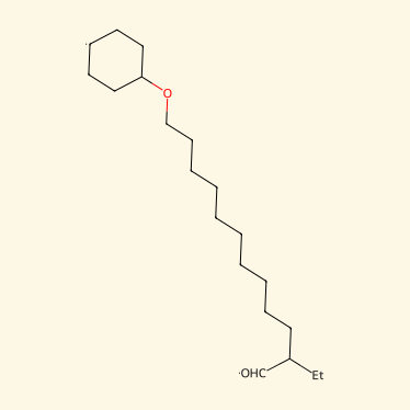 CCC([C]=O)CCCCCCCCCCOC1CC[CH]CC1